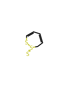 S=S1CC=CC=CS1